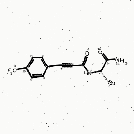 CC(C)(C)[C@H](NC(=O)C#Cc1ccc(C(F)(F)F)cc1)C(N)=O